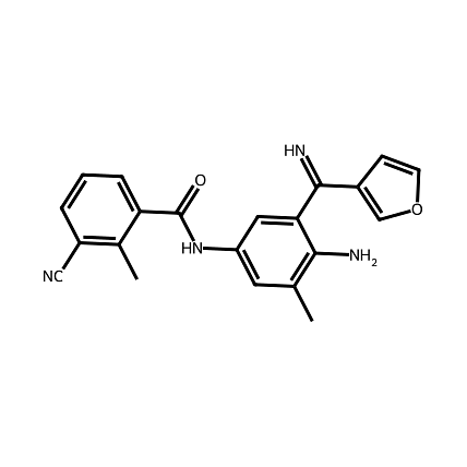 Cc1cc(NC(=O)c2cccc(C#N)c2C)cc(C(=N)c2ccoc2)c1N